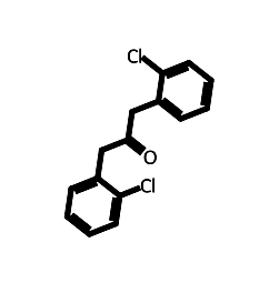 O=C(Cc1ccccc1Cl)Cc1ccccc1Cl